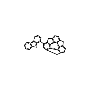 c1ccc2c(c1)oc1c(-c3cc4c5c6c(ccc7c6c6c(ccc8c6c5c3C8)C7)C4)cccc12